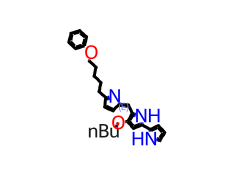 CCCCOc1cc(-c2ccc[nH]2)[nH]c1/C=C1\C=CC(CCCCCOc2ccccc2)=N1